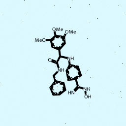 COc1cc(C(Nc2ccc(C(=N)NO)cc2)C(=O)NCc2ccccc2)cc(OC)c1OC